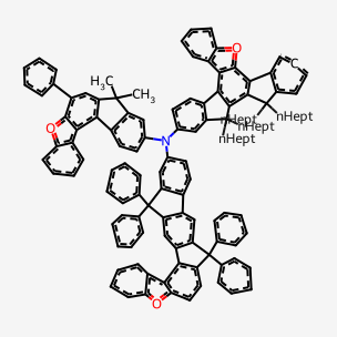 CCCCCCCC1(CCCCCCC)c2ccccc2-c2c1c1c(c3c2oc2ccccc23)-c2ccc(N(c3ccc4c(c3)C(C)(C)c3cc(-c5ccccc5)c5oc6ccccc6c5c3-4)c3ccc4c(c3)C(c3ccccc3)(c3ccccc3)c3cc5c(cc3-4)C(c3ccccc3)(c3ccccc3)c3ccc4oc6ccccc6c4c3-5)cc2C1(CCCCCCC)CCCCCCC